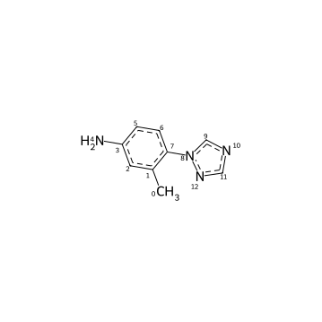 Cc1cc(N)ccc1-n1cncn1